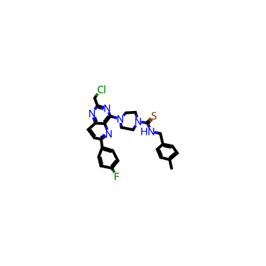 Cc1ccc(CNC(=S)N2CCN(c3nc(CCl)nc4ccc(-c5ccc(F)cc5)nc34)CC2)cc1